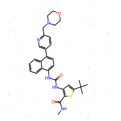 CNC(=O)c1sc(C(C)(C)C)cc1NC(=O)Nc1ccc(-c2ccc(CN3CCOCC3)nc2)c2ccccc12